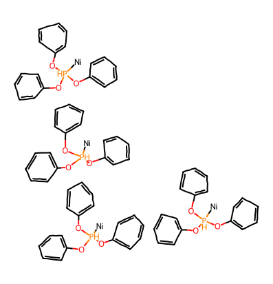 [Ni][PH](Oc1ccccc1)(Oc1ccccc1)Oc1ccccc1.[Ni][PH](Oc1ccccc1)(Oc1ccccc1)Oc1ccccc1.[Ni][PH](Oc1ccccc1)(Oc1ccccc1)Oc1ccccc1.[Ni][PH](Oc1ccccc1)(Oc1ccccc1)Oc1ccccc1